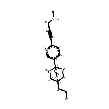 CCCC12COC(c3ccc(C#CCOC)nc3)(OC1)OC2